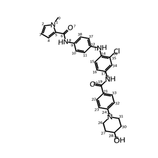 Cn1cccc1C(=O)Nc1ccc(Nc2ccc(NC(=O)c3ccc(N4CCC(O)CC4)cc3)cc2Cl)cc1